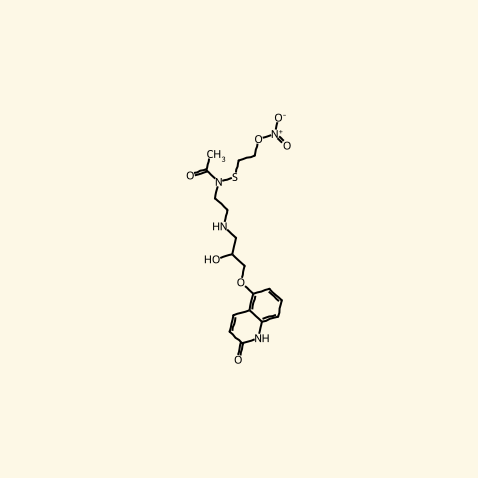 CC(=O)N(CCNCC(O)COc1cccc2[nH]c(=O)ccc12)SCCO[N+](=O)[O-]